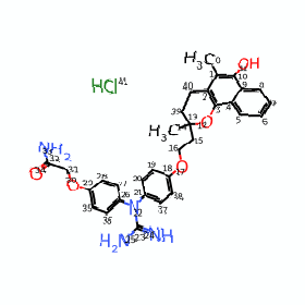 Cc1c2c(c3ccccc3c1O)OC(C)(CCOc1ccc(N(C(=N)N)c3ccc(OCC(N)=O)cc3)cc1)CC2.Cl